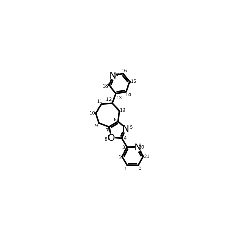 c1ccc(-c2nc3c(o2)CCCC(c2cccnc2)C3)nc1